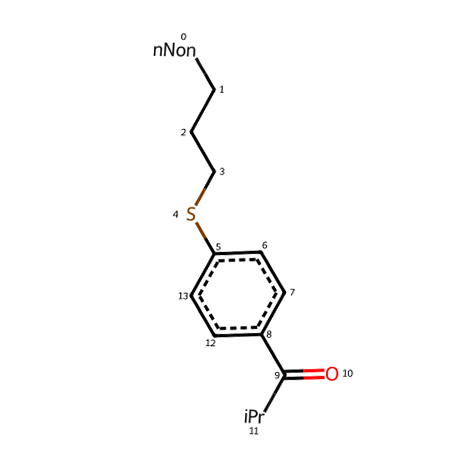 CCCCCCCCCCCCSc1ccc(C(=O)C(C)C)cc1